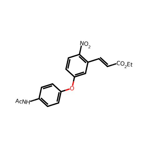 CCOC(=O)C=Cc1cc(Oc2ccc(NC(C)=O)cc2)ccc1[N+](=O)[O-]